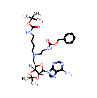 CC(C)(C)OC(=O)NCCCCN(CCNC(=O)OCc1ccccc1)C[C@H]1OC(n2cnc3c(N)ncnc32)[C@@H]2OC(C)(C)O[C@H]12